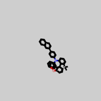 C[Si]1(C)c2cccc(N(c3ccccc3)c3ccc(-c4ccc5ccccc5c4)cc3)c2-c2c1ccc1oc3ccccc3c21